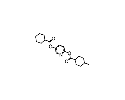 CC1CCC(C(=O)Oc2ccc(OC(=O)C3CCCCC3)cn2)CC1